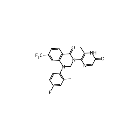 Cc1cc(F)ccc1N1CN(c2ncc(=O)[nH]c2C)C(=O)c2ccc(C(F)(F)F)cc21